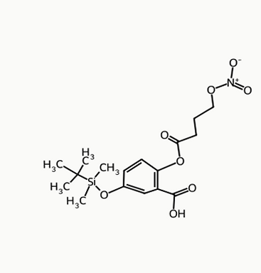 CC(C)(C)[Si](C)(C)Oc1ccc(OC(=O)CCCO[N+](=O)[O-])c(C(=O)O)c1